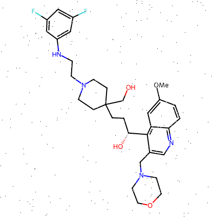 COc1ccc2ncc(CN3CCOCC3)c([C@H](O)CCC3(CO)CCN(CCNc4cc(F)cc(F)c4)CC3)c2c1